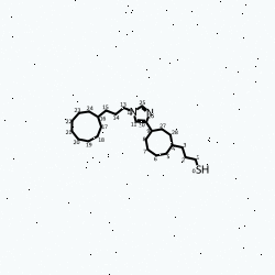 SCCCC1CCCCC(c2cn(CCCC3CCCCCCCC3)cn2)CC1